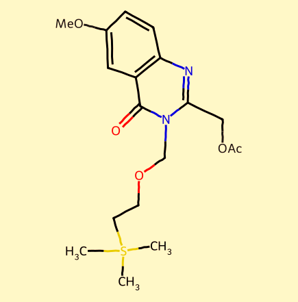 COc1ccc2nc(COC(C)=O)n(COCCS(C)(C)C)c(=O)c2c1